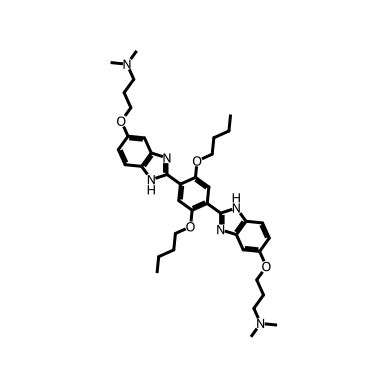 CCCCOc1cc(-c2nc3cc(OCCCN(C)C)ccc3[nH]2)c(OCCCC)cc1-c1nc2cc(OCCCN(C)C)ccc2[nH]1